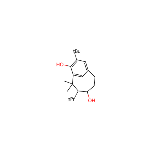 CCCC1C(O)CCc2cc(C(C)(C)C)c(O)c(c2)C1(C)C